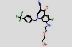 N#Cc1cn(Cc2ccc(C(F)(F)F)cc2)c2cc(NCCOCCO)c(F)cc2c1=O